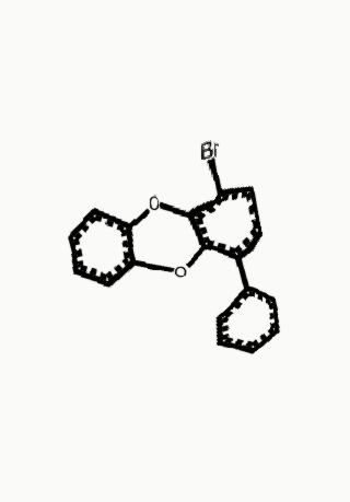 Brc1ccc(-c2ccccc2)c2c1Oc1ccccc1O2